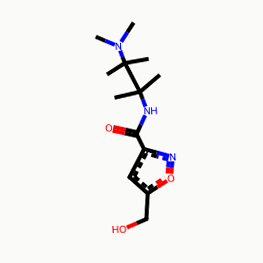 CN(C)C(C)(C)C(C)(C)NC(=O)c1cc(CO)on1